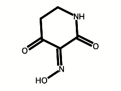 O=C1CCNC(=O)C1=NO